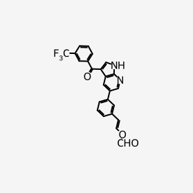 O=CO/C=C/c1cccc(-c2cnc3[nH]cc(C(=O)c4cccc(C(F)(F)F)c4)c3c2)c1